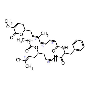 CNC(=O)OC(C/C=C\NC(=O)C(Cc1ccccc1)NC(=O)\C=C/C=C\C(C)=C\CC1CC=C(OC)C(=O)O1)C/C=C(\C)Cl